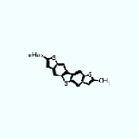 CCCCCCc1cc2cc3sc4cc5cc(C)sc5cc4c3cc2s1